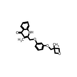 Cc1c(COc2cccc(OCC3(C)COC3)c2)[nH]c2ccccc2c1=O